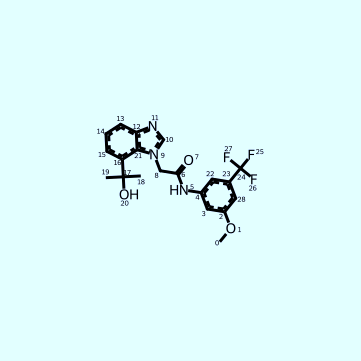 COc1cc(NC(=O)Cn2cnc3cccc(C(C)(C)O)c32)cc(C(F)(F)F)c1